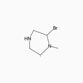 CN1[CH]CNCC1Br